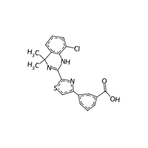 CC1(C)N=C(c2nc(-c3cccc(C(=O)O)c3)cs2)Nc2c(Cl)cccc21